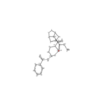 CC(C)(C)OC(=O)N1CC2CCC(C1)N2C(=O)C1CCN(OC(=O)c2ccccc2)CC1